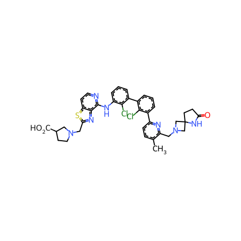 Cc1ccc(-c2cccc(-c3cccc(Nc4nccc5sc(CN6CCC(C(=O)O)C6)nc45)c3Cl)c2Cl)nc1CN1CC2(CCC(=O)N2)C1